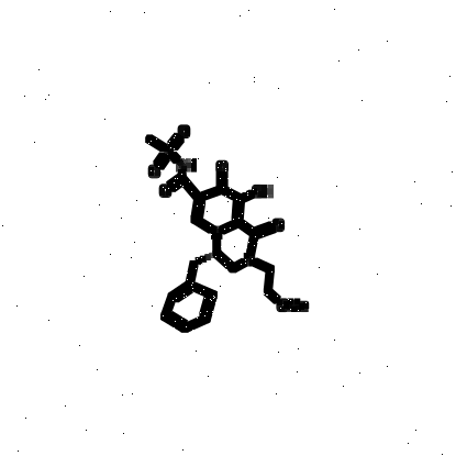 COCCN1C[C@H](Cc2ccccc2)n2cc(C(=O)NS(C)(=O)=O)c(=O)c(O)c2C1=O